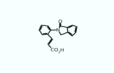 O=C(O)C=Cc1ccccc1N1Cc2ccccc2C1=O